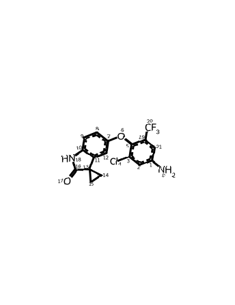 Nc1cc(Cl)c(Oc2ccc3c(c2)C2(CC2)C(=O)N3)c(C(F)(F)F)c1